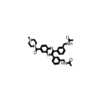 CC(=O)NCc1cccc(-c2nc3ccc(C(=O)N4CCN(C)CC4)cc3nc2-c2cccc(CNC(C)=O)c2)c1